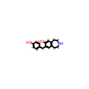 Oc1ccc(Cc2cc3c(cc2O)CCNCC3)cc1